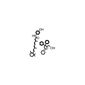 CC1=C(/C=C/C(C)=C/C=C/C(C)=C/C(=O)Nc2ccc(O)cc2)C(C)(C)CCC1.CCC(=O)C(CC(C)N1CCCCC1)(c1ccccc1)c1ccccc1.Cl